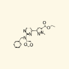 CCOC(=O)c1cc(-c2ccnc(N(Cc3ccccc3)C3=COCO3)n2)nn1C